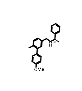 COc1ccc(-c2cc(CN[C@H](C)c3ccccc3)ccc2C)cc1